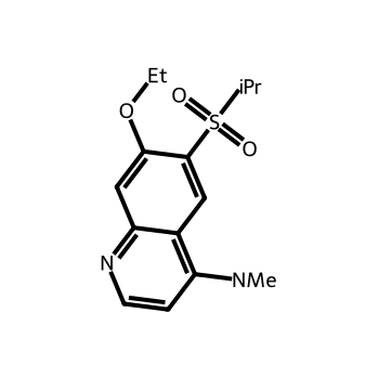 CCOc1cc2nccc(NC)c2cc1S(=O)(=O)C(C)C